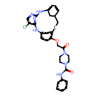 O=C(COc1ccc2cc1CCC1C=CC=C(C1)Nc1ncc(Cl)c(n1)N2)N1CCN(C(=O)Nc2ccccc2)CC1